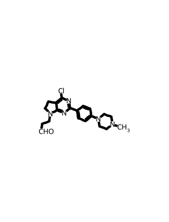 CN1CCN(c2ccc(-c3nc(Cl)c4c(n3)N(CCC=O)CC4)cc2)CC1